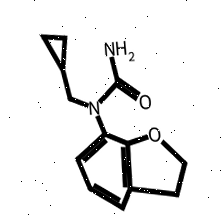 NC(=O)N(CC1CC1)c1cccc2c1OCC2